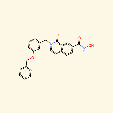 O=C(NO)c1ccc2ccn(Cc3cccc(OCc4ccccc4)c3)c(=O)c2c1